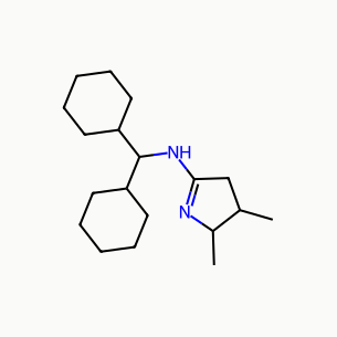 CC1CC(NC(C2CCCCC2)C2CCCCC2)=NC1C